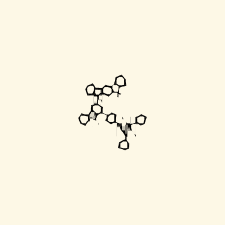 CC1(C)c2ccccc2-c2cc3c4ccccc4n(-c4cc(-c5ccc(-c6nc(-c7ccccc7)nc(-c7ccccc7)n6)cc5)c5sc6ccccc6c5c4)c3cc21